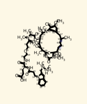 CNN(C)Cc1cc2ccccc2n1CCC(=O)N[C@@H](CCC(=O)O)C(=O)NCCOCCC(=O)N(C)[C@@H](C)C(=O)O[C@H]1CC(=O)N(C)c2cc(cc(OC)c2Cl)C/C(C)=C/C=C/[C@@H](OC)[C@@]2(O)C[C@H](OC(=O)N2)[C@@H](C)C2O[C@]21C